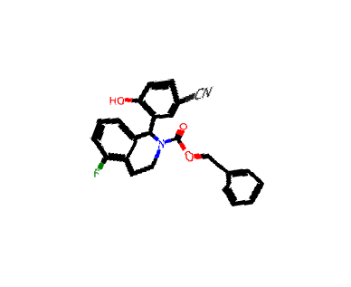 N#Cc1ccc(O)c(C2c3cccc(F)c3CCN2C(=O)OCc2ccccc2)c1